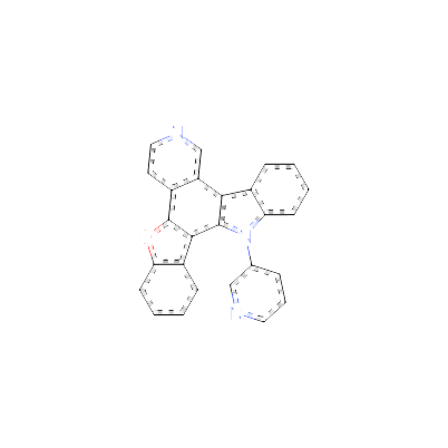 c1cncc(-n2c3ccccc3c3c4cnccc4c4oc5ccccc5c4c32)c1